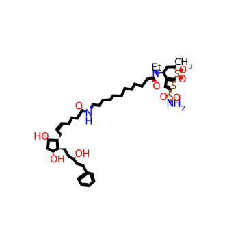 CCN(C(=O)CCCCCCCCCCCNC(=O)CCC/C=C\C[C@@H]1[C@@H](CC[C@H](O)CCc2ccccc2)[C@H](O)C[C@@H]1O)[C@H]1C[C@H](C)S(=O)(=O)c2sc(S(N)(=O)=O)cc21